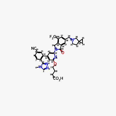 Cn1cnnc1-c1ccc(C#N)cc1-c1cc(OCCCC(=O)O)nc(N2Cc3c(cc(CN4CCC5(CC5)C4)cc3C(F)(F)F)C2=O)c1